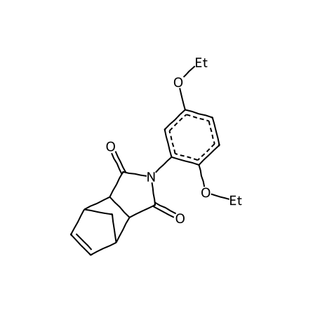 CCOc1ccc(OCC)c(N2C(=O)C3C4C=CC(C4)C3C2=O)c1